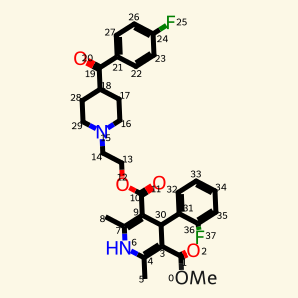 COC(=O)C1=C(C)NC(C)=C(C(=O)OCCN2CCC(C(=O)c3ccc(F)cc3)CC2)C1c1ccccc1F